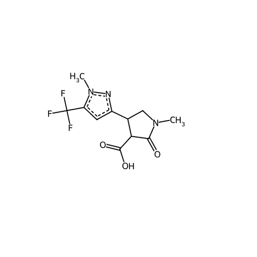 CN1CC(c2cc(C(F)(F)F)n(C)n2)C(C(=O)O)C1=O